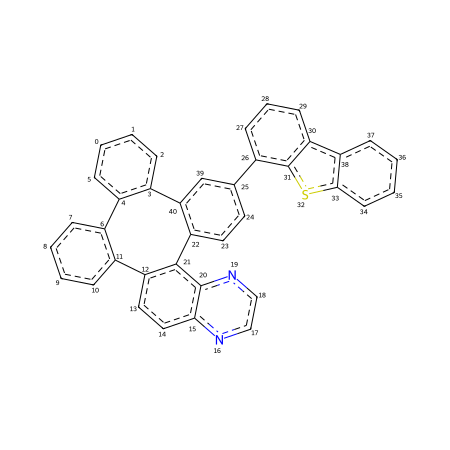 c1ccc2c(c1)-c1ccccc1-c1ccc3nccnc3c1-c1ccc(-c3cccc4c3sc3ccccc34)cc1-2